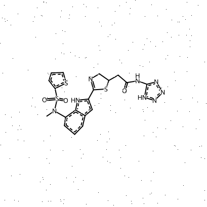 CN(c1cccc2cc(C3=NCC(CC(=O)Nc4nnn[nH]4)S3)[nH]c12)S(=O)(=O)c1cccs1